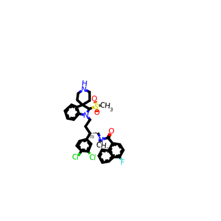 CN(C[C@@H](CCN1c2ccccc2C2(CCNCC2)C1S(C)(=O)=O)c1ccc(Cl)c(Cl)c1)C(=O)c1ccc(F)c2ccccc12